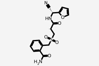 N#C[C@@H](NC(=O)[CH]CS(=O)(=O)Cc1ccccc1C(N)=O)c1ccco1